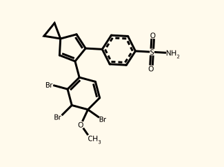 COC1(Br)C=CC(C2=CC3(C=C2c2ccc(S(N)(=O)=O)cc2)CC3)=C(Br)C1Br